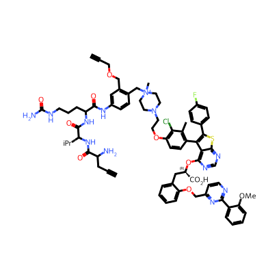 C#CCOCc1cc(NC(=O)C(CCCNC(N)=O)NC(=O)C(NC(=O)C(N)CC#C)C(C)C)ccc1C[N+]1(C)CCN(CCOc2ccc(-c3c(-c4ccc(F)cc4)sc4ncnc(O[C@H](Cc5ccccc5OCc5ccnc(-c6ccccc6OC)n5)C(=O)O)c34)c(C)c2Cl)CC1